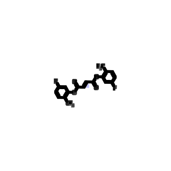 O=C(/C=C/C(=O)Oc1cc(F)ccc1C(F)(F)F)Oc1cc(F)ccc1C(F)(F)F